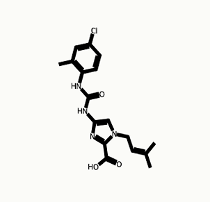 CC(C)=CCn1cc(NC(=O)Nc2ccc(Cl)cc2C)nc1C(=O)O